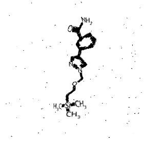 C[Si](C)(C)CCOCn1cc(-c2cccc(C(N)=O)c2)cn1